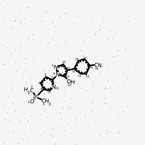 CP(C)(=O)c1ccc(-n2ncc(-c3ccc(C#N)cc3)c2O)nc1